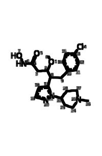 COC(CC(=O)NO)C(Cc1ccc(Cl)cc1)c1ccnn1C1CCN(C)CC1